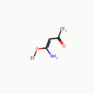 CCOC(N)=CC(=O)C(F)(F)F